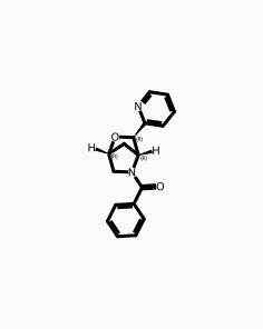 O=C(c1ccccc1)N1C[C@H]2C[C@@H]1[C@H](c1ccccn1)O2